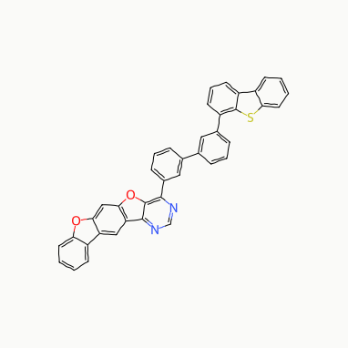 c1cc(-c2cccc(-c3cccc4c3sc3ccccc34)c2)cc(-c2ncnc3c2oc2cc4oc5ccccc5c4cc23)c1